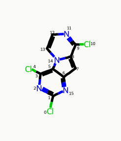 Clc1nc(Cl)c2c(cc3c(Cl)nccn32)n1